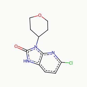 O=c1[nH]c2ccc(Cl)nc2n1C1CCOCC1